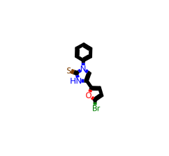 S=c1[nH]c(-c2ccc(Br)o2)cn1-c1ccccc1